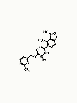 Cc1c(C(=O)N[C@H](C(=O)OCc2ccnc(C(F)(F)F)n2)C(C)C)ccc2c1B(O)OC2